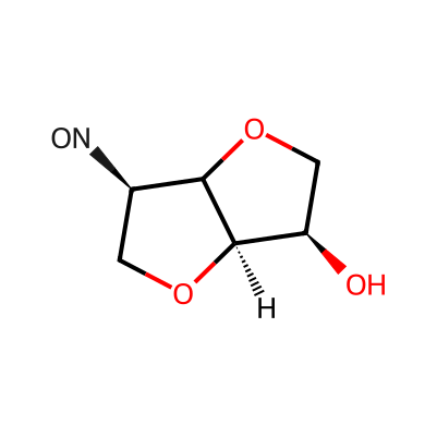 O=N[C@@H]1CO[C@H]2C1OC[C@H]2O